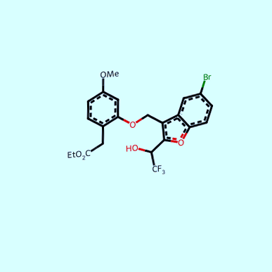 CCOC(=O)Cc1ccc(OC)cc1OCc1c(C(O)C(F)(F)F)oc2ccc(Br)cc12